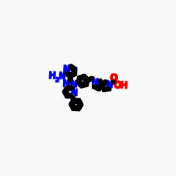 Nc1ncccc1-c1nc2ccc(-c3ccccc3)nc2n1-c1ccc(CN2CCC3(CCN(C(=O)O)C3)C2)cc1